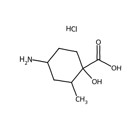 CC1CC(N)CCC1(O)C(=O)O.Cl